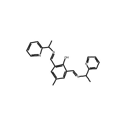 Cc1cc(C=NC(C)c2ccccn2)c(O)c(C=NC(C)c2ccccn2)c1